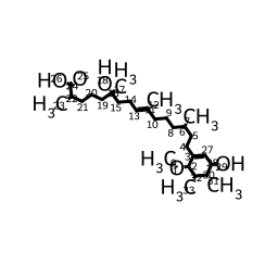 COC1C(CCC(C)CCC/C(C)=C/CCC(C)(O)CCCC(C)C(=O)O)=CC(O)C(C)C1C